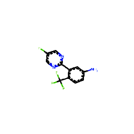 Nc1ccc(C(F)(F)F)c(-c2ncc(F)cn2)c1